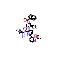 CCOc1ncccc1-c1ccc(N2CCN(C(=O)C3C4CC5CC(C4)CC3C5)C[C@H]2CC)c(C(=O)NC2CN(C)C2)n1